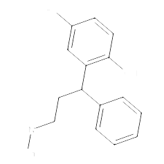 CCc1ccc(O)c(C(CCNC(C)C)c2ccccc2)c1